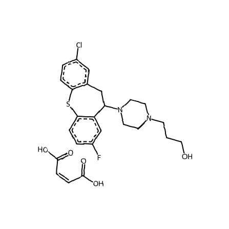 O=C(O)/C=C\C(=O)O.OCCCN1CCN(C2Cc3cc(Cl)ccc3Sc3ccc(F)cc32)CC1